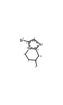 CC1CCn2c(Br)cnc2C1